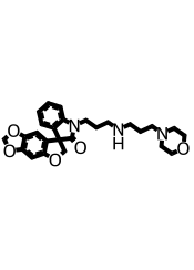 O=C1N(CCCNCCCN2CCOCC2)c2ccccc2C12COc1cc3c(cc12)OCO3